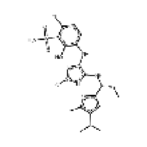 CC[C@@H](Nc1n[s+]([O-])nc1Nc1ccc(Cl)c(S(N)(=O)=O)c1O)c1cc(C(C)C)c(C)o1